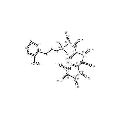 COc1ccccc1CCC[Si](C)(C)[Si](=O)[Si](=O)[Si](=O)[Si](=O)[Si](=O)[Si](=O)[Si](=O)[Si](=O)[Si](=O)[SiH]=O